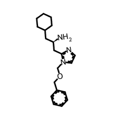 N[C@@H](Cc1nccn1COCc1ccccc1)CC1CCCCC1